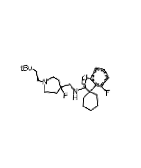 CC(C)(C)CCN1CCC(F)(CNC(=O)C2(c3c(F)cccc3Cl)CCCCC2)CC1